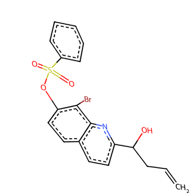 C=CCC(O)c1ccc2ccc(OS(=O)(=O)c3ccccc3)c(Br)c2n1